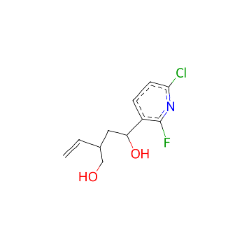 C=CC(CO)CC(O)c1ccc(Cl)nc1F